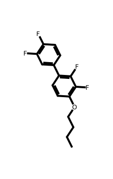 CCCCOc1ccc(-c2ccc(F)c(F)c2)c(F)c1F